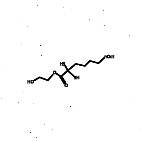 CCCCCCCCCCCCC(S)(S)C(=O)OCCO